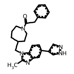 Cc1nc2cc(-c3cn[nH]c3)ccc2n1CC1CCCN(C(=O)Cc2ccccc2)CC1